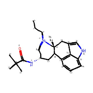 CCCN1C[C@@H](NC(=O)C(C)(C)C)CC2c3cccc4[nH]cc(c34)C[C@H]21